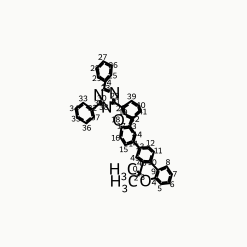 CC1(C)Oc2ccccc2-c2ccc(-c3ccc4oc5c(-c6nc(-c7ccccc7)nc(-c7ccccc7)n6)cccc5c4c3)cc21